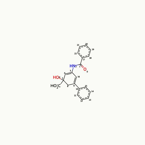 O=C(NC1=CC(O)(C(=O)O)CC(c2ccccc2)=C1)c1ccccc1